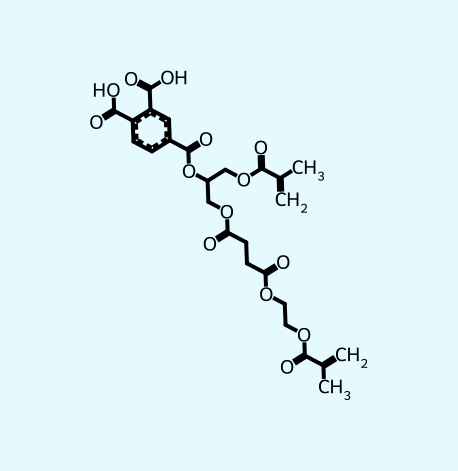 C=C(C)C(=O)OCCOC(=O)CCC(=O)OCC(COC(=O)C(=C)C)OC(=O)c1ccc(C(=O)O)c(C(=O)O)c1